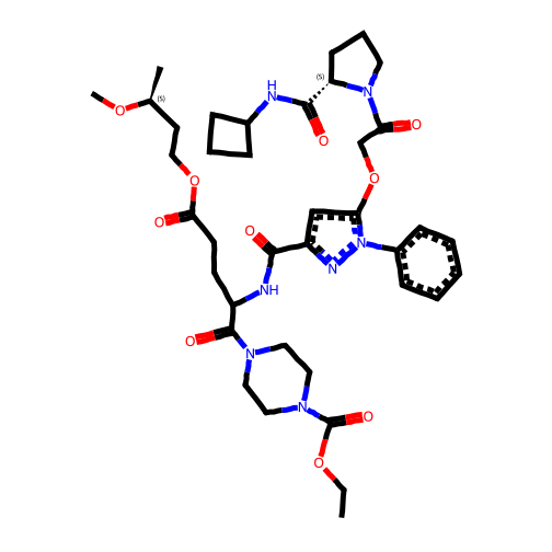 CCOC(=O)N1CCN(C(=O)C(CCC(=O)OCC[C@H](C)OC)NC(=O)c2cc(OCC(=O)N3CCC[C@H]3C(=O)NC3CCC3)n(-c3ccccc3)n2)CC1